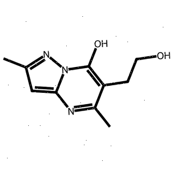 Cc1cc2nc(C)c(CCO)c(O)n2n1